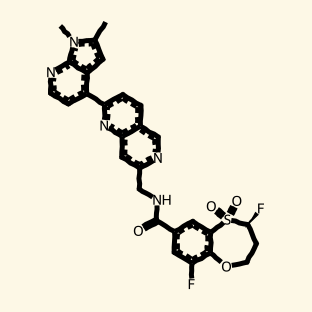 Cc1cc2c(-c3ccc4cnc(CNC(=O)c5cc(F)c6c(c5)S(=O)(=O)[C@@H](F)CCO6)cc4n3)ccnc2n1C